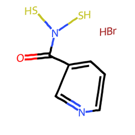 Br.O=C(c1cccnc1)N(S)S